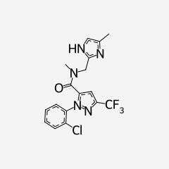 Cc1c[nH]c(CN(C)C(=O)c2cc(C(F)(F)F)nn2-c2ccccc2Cl)n1